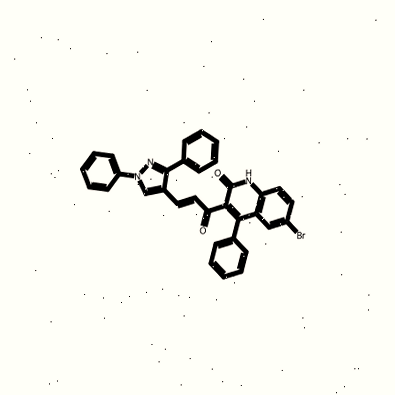 O=C(/C=C/c1cn(-c2ccccc2)nc1-c1ccccc1)c1c(-c2ccccc2)c2cc(Br)ccc2[nH]c1=O